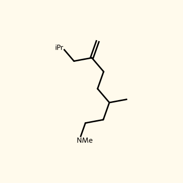 C=C(CCC(C)CCNC)CC(C)C